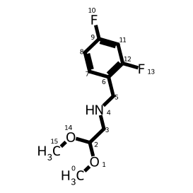 COC(CNCc1ccc(F)cc1F)OC